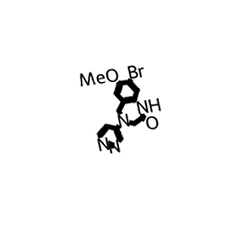 COc1cc2c(cc1Br)NC(=O)CN(c1ccnnc1)C2